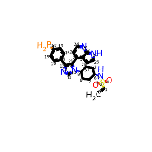 C=CS(=O)(=O)N[C@H]1CC[C@@H](n2cnc(-c3ccc(P)cc3)c2-c2ccnc3[nH]ccc23)CC1